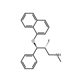 CNC[C@@H](F)[C@H](Oc1cccc2ccccc12)c1ccccc1